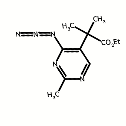 CCOC(=O)C(C)(C)c1cnc(C)nc1N=[N+]=[N-]